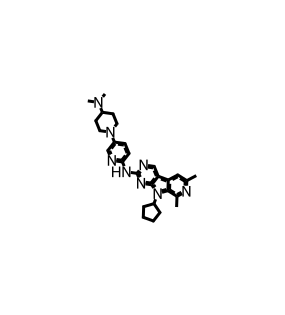 Cc1cc2c3cnc(Nc4ccc(N5CCC(N(C)C)CC5)cn4)nc3n(C3CCCC3)c2c(C)n1